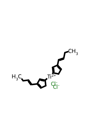 CCC=CC1=CC[C]([Ti+2][C]2=CC(C=CCC)=CC2)=C1.[Cl-].[Cl-]